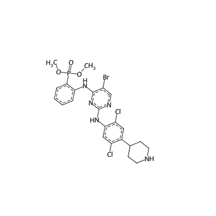 COP(=O)(OC)c1ccccc1Nc1nc(Nc2cc(Cl)c(C3CCNCC3)cc2Cl)ncc1Br